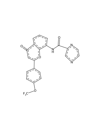 O=C(Nc1cccc2c(=O)cc(-c3ccc(OC(F)(F)F)cc3)oc12)c1cnccn1